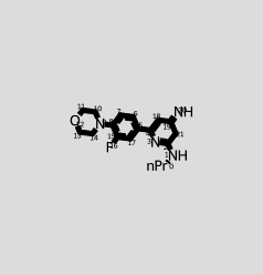 CCCNC1=NC(c2ccc(N3CCOCC3)c(F)c2)=CC(=N)C1